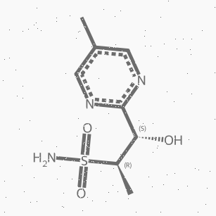 Cc1cnc([C@H](O)[C@@H](C)S(N)(=O)=O)nc1